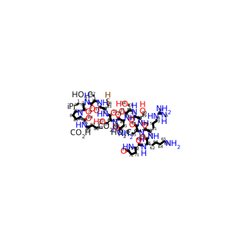 CC(C)C[C@H](NC(=O)[C@H](CC(=O)O)NC(=O)[C@H](CS)NC(=O)[C@H](CO)NC(=O)[C@H](CC(N)=O)NC(=O)[C@H](CO)NC(=O)[C@H](CO)NC(=O)[C@H](CC(=O)O)NC(=O)[C@H](CCCNC(=N)N)NC(=O)[C@H](CCCCN)NC(=O)[C@@H]1CCC(=O)N1)C(=O)N1CCC[C@H]1C(=O)N[C@@H](CCC(=O)O)C(=O)O